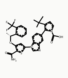 C[C@@H](Oc1cc(-n2cnc3cc(-c4c(C(C)(C)C)ccn4C(=O)O)ccc32)sc1C(N)=O)c1ccccc1C(F)(F)F